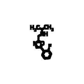 CC(C)NCc1ncc(-c2ccccc2F)o1